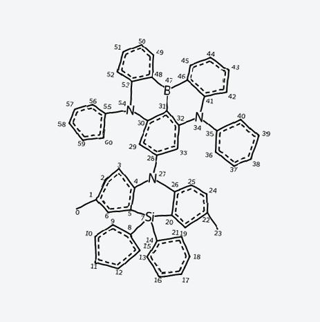 Cc1ccc2c(c1)[Si](c1ccccc1)(c1ccccc1)c1cc(C)ccc1N2c1cc2c3c(c1)N(c1ccccc1)c1ccccc1B3c1ccccc1N2c1ccccc1